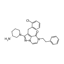 N[C@@H]1CCCN(c2nn3ccn(CCc4ccccc4)c(=O)c3c2Cc2ccccc2Cl)C1